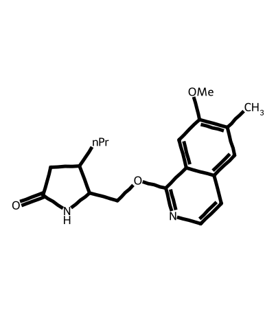 CCCC1CC(=O)NC1COc1nccc2cc(C)c(OC)cc12